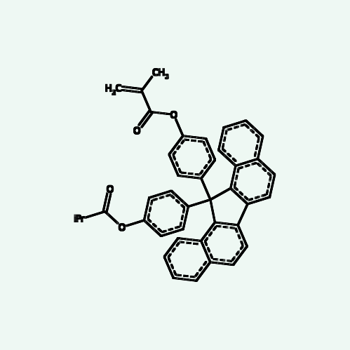 C=C(C)C(=O)Oc1ccc(C2(c3ccc(OC(=O)C(C)C)cc3)c3c(ccc4ccccc34)-c3ccc4ccccc4c32)cc1